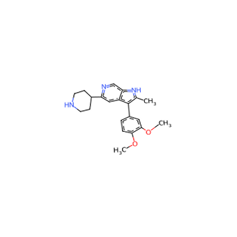 COc1ccc(-c2c(C)[nH]c3cnc(C4CCNCC4)cc23)cc1OC